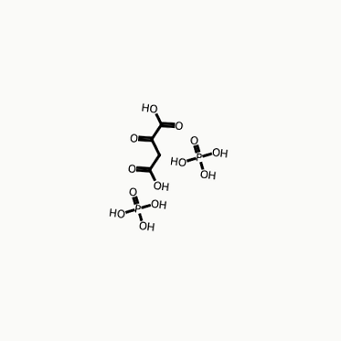 O=C(O)CC(=O)C(=O)O.O=P(O)(O)O.O=P(O)(O)O